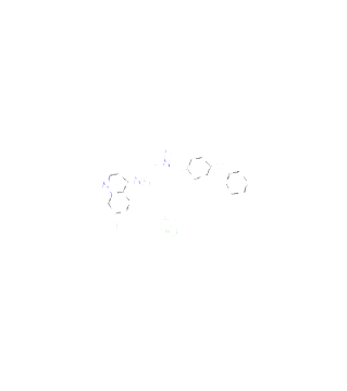 CC(C)(CNc1ccnc2cc(Cl)ccc12)NCc1ccc(Oc2ccccc2)cc1.Cl.Cl